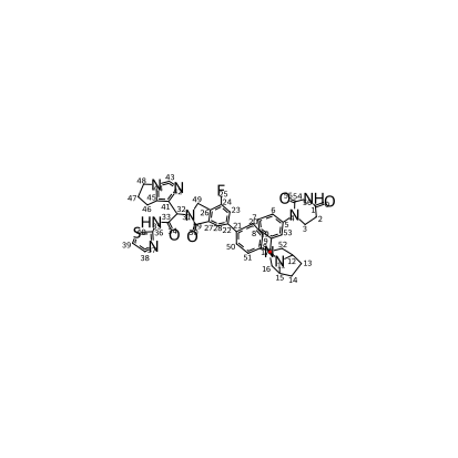 O=C1CCN(c2cccc(CN3C4CCC3CN(c3ccc(-c5cc(F)c6c(c5)C(=O)N(C(C(=O)Nc5nccs5)c5ncn7c5CCC7)C6)cc3)C4)c2)C(=O)N1